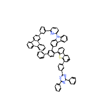 c1ccc(-c2ccc(-c3cccc4c3sc3c(-c5cccc(-c6nc(-c7ccccc7)nc(-c7ccccc7)n6)c5)cccc34)c(-c3ccc4c(c3)c3ccccc3n4-c3cccc(-c4cccc(-c5ccc6c7ccccc7c7ccccc7c6c5)c4)n3)c2)cc1